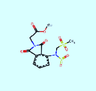 CC(C)(C)OC(=O)CN1C(=O)c2cccc(N(CS(C)(=O)=O)[SH](=O)=O)c2C1=O